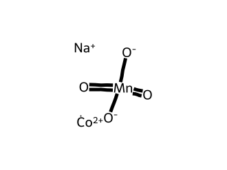 [Co+2].[Na+].[O]=[Mn](=[O])([O-])[O-]